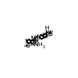 COc1cccc2c1nc(N)n1nc(CN3CCc4ccc(NC(C)=O)cc4C3)nc21